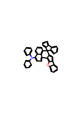 c1ccc(N(c2ccccc2)c2ccc3c4c(cccc24)C2(c4ccccc4-c4ccccc42)c2ccc4c(oc5ccccc54)c2-3)cc1